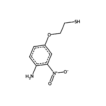 Nc1ccc(OCCS)cc1[N+](=O)[O-]